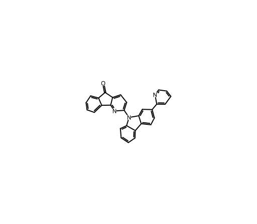 O=C1c2ccccc2-c2nc(-n3c4ccccc4c4ccc(-c5ccccn5)cc43)ccc21